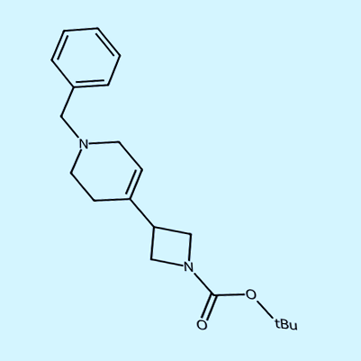 CC(C)(C)OC(=O)N1CC(C2=CCN(Cc3ccccc3)CC2)C1